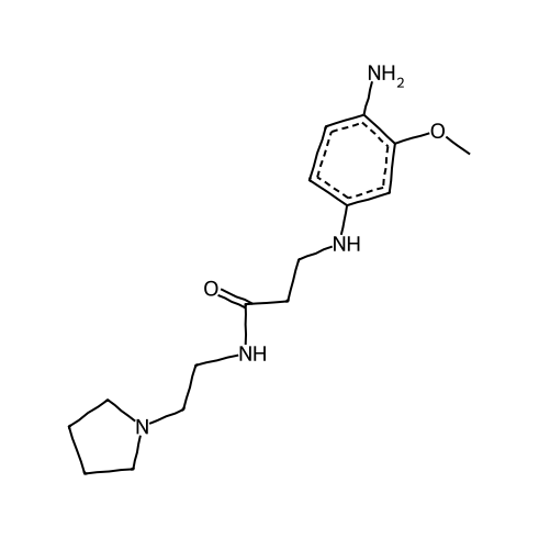 COc1cc(NCCC(=O)NCCN2CCCC2)ccc1N